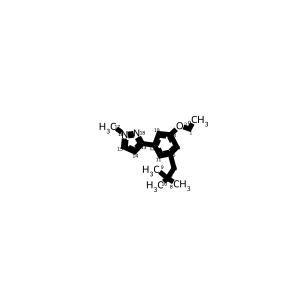 CCOc1cc(CC(C)(C)C)cc(-c2ccn(C)n2)c1